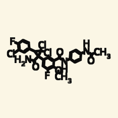 COc1c(F)cc(C2(C(N)=O)C(c3ccc(F)c(Cl)c3)C2(Cl)Cl)cc1C(=O)Nc1ccc(NC(C)=O)cc1